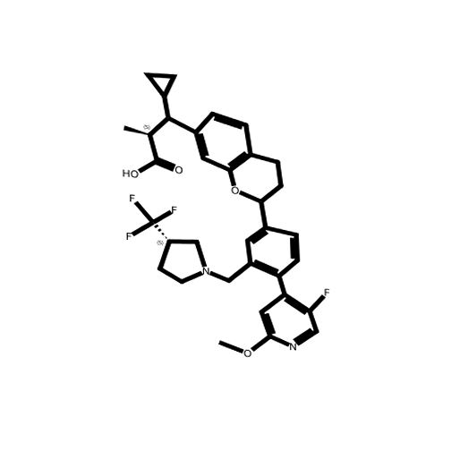 COc1cc(-c2ccc(C3CCc4ccc(C(C5CC5)[C@H](C)C(=O)O)cc4O3)cc2CN2CC[C@H](C(F)(F)F)C2)c(F)cn1